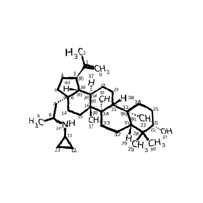 C=C(C)[C@@H]1CC[C@]2(CC(C)NC3CC3)CC[C@]3(C)[C@H](CC[C@@H]4[C@@]5(C)CC[C@H](O)C(C)(C)[C@@H]5CC[C@]43C)[C@@H]12